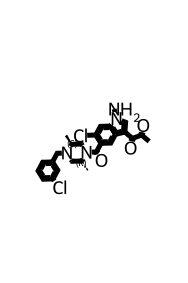 CC(=O)C(=O)c1cn(N)c2cc(Cl)c(C(=O)N3C[C@H](C)N(Cc4cccc(Cl)c4)C[C@H]3C)cc12